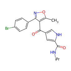 Cc1onc(-c2ccc(Br)cc2)c1C(=O)c1c[nH]c(C(=O)NC(C)C)c1